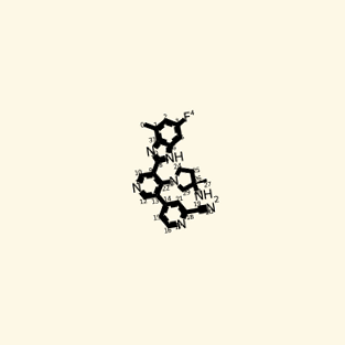 Cc1cc(F)cc2[nH]c(-c3cncc(-c4ccnc(C#N)c4)c3N3CC[C@](C)(N)C3)nc12